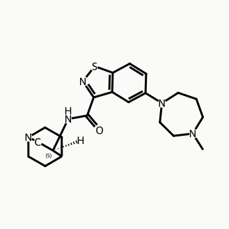 CN1CCCN(c2ccc3snc(C(=O)N[C@@H]4CN5CCC4CC5)c3c2)CC1